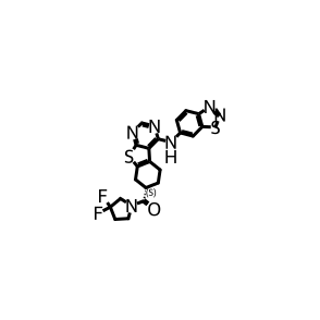 O=C([C@H]1CCc2c(sc3ncnc(Nc4ccc5nnsc5c4)c23)C1)N1CCC(F)(F)C1